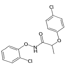 CC(Oc1ccc(Cl)cc1)C(=O)NOc1ccccc1Cl